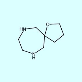 C1COC2(C1)CNCCNC2